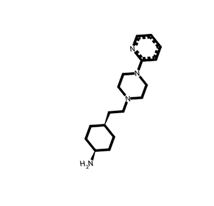 N[C@H]1CC[C@@H](CCN2CCN(c3ccccn3)CC2)CC1